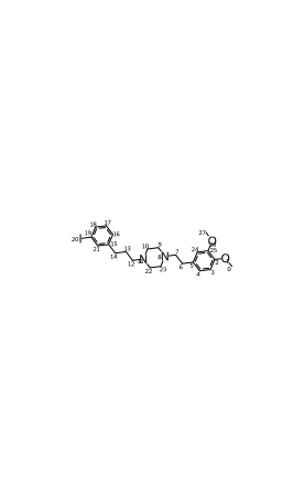 COc1ccc(CCN2CCN(CCCc3cccc(I)c3)CC2)cc1OC